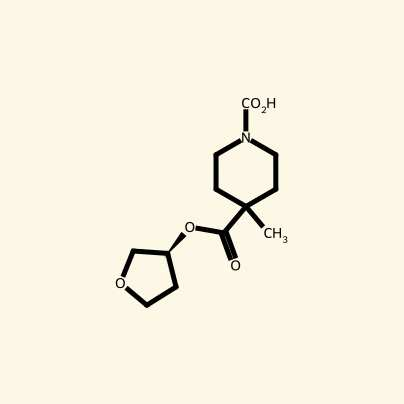 CC1(C(=O)O[C@H]2CCOC2)CCN(C(=O)O)CC1